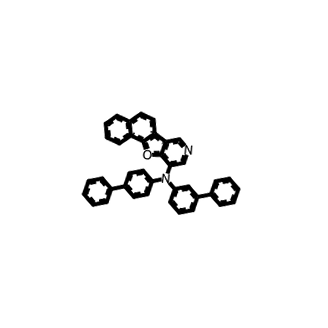 c1ccc(-c2ccc(N(c3cccc(-c4ccccc4)c3)c3cncc4c3oc3c5ccccc5ccc43)cc2)cc1